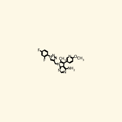 COc1ccc(-c2c(C)n(Cc3cn(-c4ccc(F)cc4F)nn3)c3ncnc(N)c23)cn1